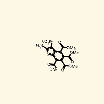 CCOC(=O)c1c(N)sc2c(C(=O)OC)c(C(=O)OC)c(C(=O)OC)c(C(=O)OC)c12